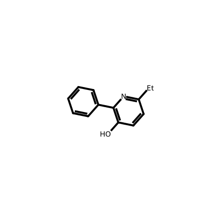 CCc1ccc(O)c(-c2ccccc2)n1